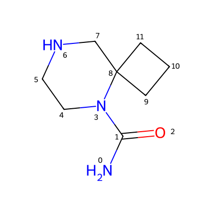 NC(=O)N1CCNCC12CCC2